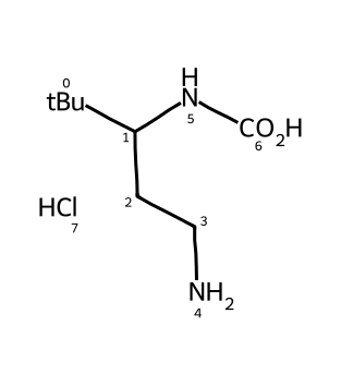 CC(C)(C)C(CCN)NC(=O)O.Cl